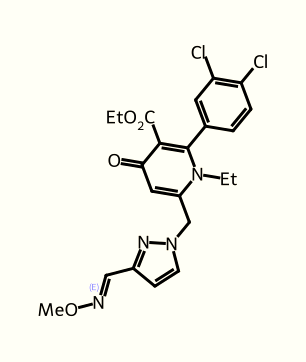 CCOC(=O)c1c(-c2ccc(Cl)c(Cl)c2)n(CC)c(Cn2ccc(/C=N/OC)n2)cc1=O